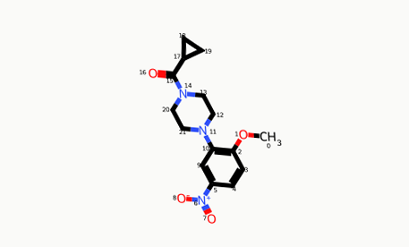 COc1ccc([N+](=O)[O-])cc1N1CCN(C(=O)C2CC2)CC1